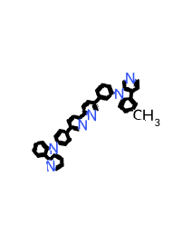 Cc1ccc2c(c1)c1ccncc1n2-c1cccc(-c2ccc(-c3ccc(-c4ccc(-n5c6ccccc6c6ncccc65)cc4)cn3)nc2)c1